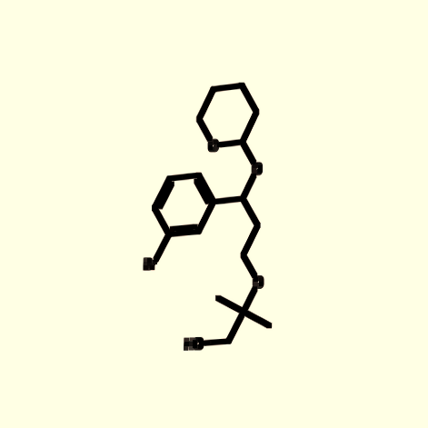 CC(C)(CO)OCCC(OC1CCCCO1)c1cccc(Br)c1